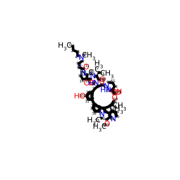 CCCCCN(C)C/C=C\C(=O)N1CCC(O)(C(=O)N(C)[C@H](C(=O)N[C@H]2Cc3cc(O)cc(c3)-c3ccc4c(c3)c(c(-c3cccnc3COC)n4CC)CC(C)(C)COC(=O)[C@@]3(O)CCCN(N3)C2=O)C(C)C)C1